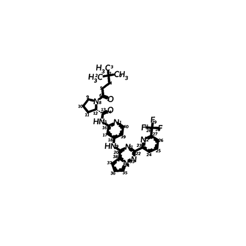 CC(C)(C)CCC(=O)N1CCC[C@H]1C(=O)Nc1cc(Nc2nc(-c3cccc(C(F)(F)F)n3)nn3cccc23)ccn1